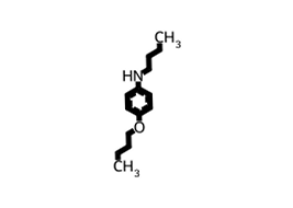 CCCCNc1ccc(OCCCC)cc1